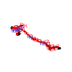 O=C(O)CCCNC(=O)[C@H](NC(=O)OCc1ccccc1)[C@@H](NC(=O)OCc1ccccc1)C(=O)NCCOCCOCCOCCOCCC(=O)NCCOCCOCCOCCOCCC(=O)NCCOCCOCCOCCOCCC(=O)OCc1ccccc1